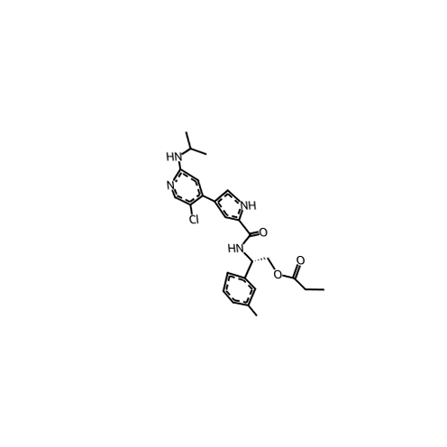 CCC(=O)OC[C@@H](NC(=O)c1cc(-c2cc(NC(C)C)ncc2Cl)c[nH]1)c1cccc(C)c1